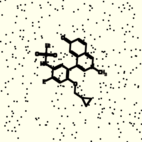 CCS(=O)(=O)Nc1cc(-c2cn(C)cc3ccc(=O)cc2-3)c(OCC2CC2)cc1F